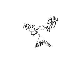 CNCCc1ccc(-c2ccccc2)c(N(C(=O)O)C2CCC(NC(=O)OC(C)(C)C)CC2)c1